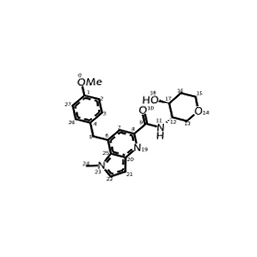 COc1ccc(Cc2cc(C(=O)N[C@H]3COCC[C@@H]3O)nc3ccn(C)c23)cc1